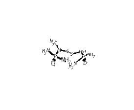 CN(SSNP(N)(N)=O)P(N)(N)=O